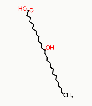 CCCCCCCCC=CCC=CCC(O)CCCCCCCCCCCC(=O)O